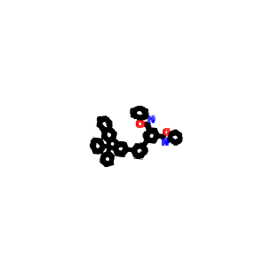 c1ccc(C2(c3ccccc3)c3ccc(-c4cccc(-c5cc(-c6nc7ccccc7o6)cc(-c6nc7ccccc7o6)c5)c4)cc3-c3cc4ccccc4cc32)cc1